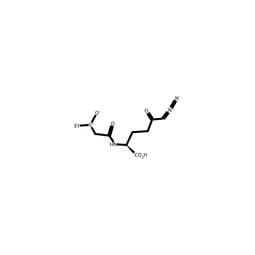 CC[S+]([O-])CC(=O)N[C@@H](CCC(=O)C=[N+]=[N-])C(=O)O